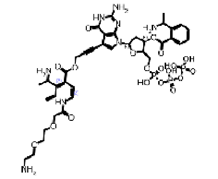 C=C/C(=C(\C=C/NC(=O)COCCOCCN)C(=O)OCC#Cc1cn([C@H]2C[C@@H](OC(=O)c3ccccc3C(C)N)C(COP(=O)(O)OP(=O)(O)OP(=O)(O)O)O2)c2nc(N)[nH]c(=O)c12)C(C)N